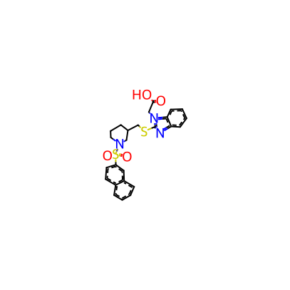 O=C(O)Cn1c(SCC2CCCN(S(=O)(=O)c3ccc4ccccc4c3)C2)nc2ccccc21